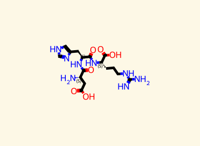 N=C(N)NCCC[C@H](NC(=O)[C@H](Cc1c[nH]cn1)NC(=O)[C@@H](N)CC(=O)O)C(=O)O